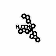 CC1(C)c2ccccc2-c2ccc(N(C3=C4C=CC=C5c6ccccc6C(C=C3)C54)c3cccc(-c4ccc5c(ccc6ccccc65)c4)c3)cc21